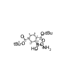 CC(C)(C)OC(=O)c1ccc(C(=O)OC(C)(C)C)c(B(O)ON)c1